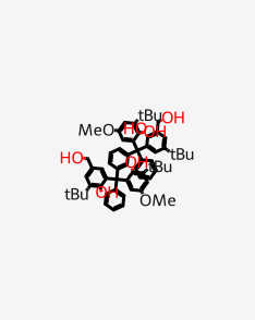 COc1cc(C(C)(C)C)c(O)c(C(c2ccccc2)(c2cccc(C(c3ccccc3)(c3cc(CO)cc(C(C)(C)C)c3O)c3cc(OC)cc(C(C)(C)C)c3O)c2)c2cc(C(C)(C)C)cc(CO)c2O)c1